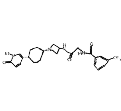 CCn1cc([C@H]2CC[C@@H](N3CC(NC(=O)CNC(=O)c4cccc(C(F)(F)F)c4)C3)CC2)ccc1=O